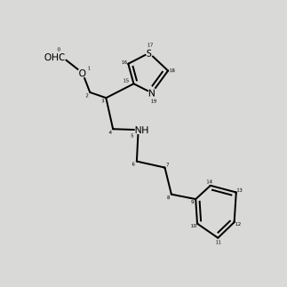 O=COCC(CNCCCc1ccccc1)c1cscn1